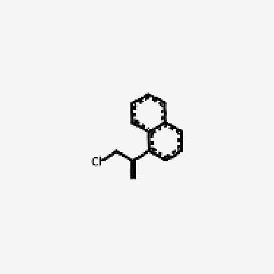 C=C(CCl)c1cccc2ccccc12